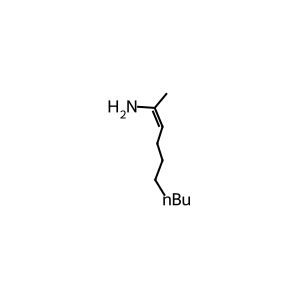 CCCCCCCC=C(C)N